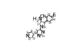 NC1CN(c2cc(-c3ccncc3)ncn2)CC1c1ccc(F)cc1Cl